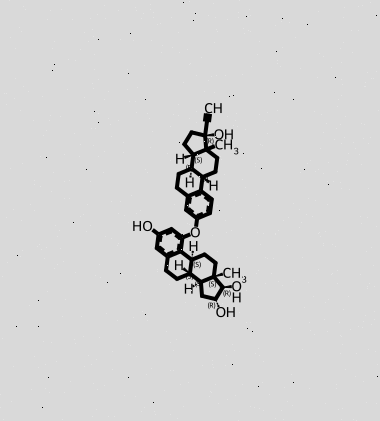 C#C[C@@]1(O)CC[C@H]2[C@@H]3CCc4cc(Oc5cc(O)cc6c5[C@H]5CC[C@]7(C)[C@@H](O)[C@H](O)C[C@H]7[C@@H]5CC6)ccc4[C@H]3CCC21C